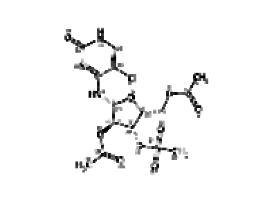 CC(=O)OC[C@H]1O[C@@H](Nc2nc(=O)[nH]cc2Cl)[C@H](OC(C)=O)[C@H]1OS(C)(=O)=O